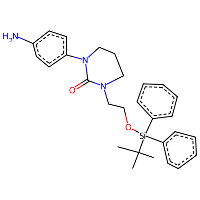 CC(C)(C)[Si](OCCN1CCCN(c2ccc(N)cc2)C1=O)(c1ccccc1)c1ccccc1